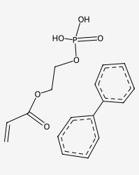 C=CC(=O)OCCOP(=O)(O)O.c1ccc(-c2ccccc2)cc1